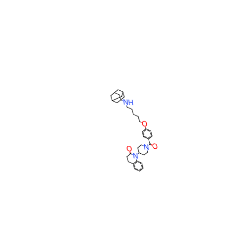 O=C(c1ccc(OCCCCCNC23CC4CC(CC(C4)C2)C3)cc1)N1CCC(N2C(=O)CCc3ccccc32)CC1